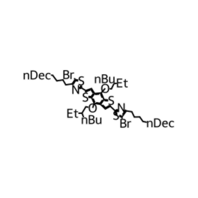 CCCCCCCCCCCCCCc1nc(-c2cc3c(OCC(CC)CCCC)c4sc(-c5nc(CCCCCCCCCCCCCC)c(Br)s5)cc4c(OCC(CC)CCCC)c3s2)sc1Br